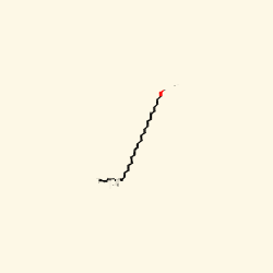 CCCCCCCCCCCCCCCCCC(=O)CCCCCCCCC=CCCCCCCCC(=O)POCC(O)CO